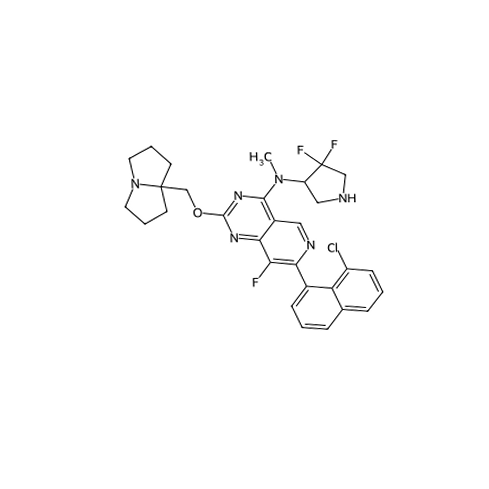 CN(c1nc(OCC23CCCN2CCC3)nc2c(F)c(-c3cccc4cccc(Cl)c34)ncc12)C1CNCC1(F)F